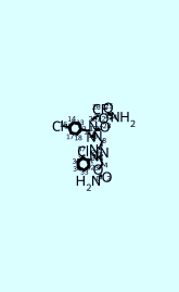 NC(=O)OCc1nc(Cn2nc(-c3ccc(Cl)cc3)n(CC(OC(N)=O)C(F)(F)F)c2=O)nn1-c1ccccc1Cl